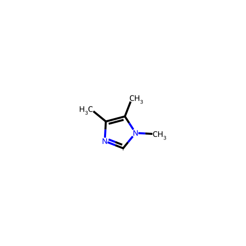 Cc1n[c]n(C)c1C